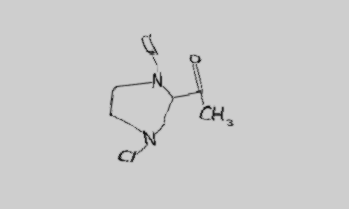 CC(=O)C1CN(Cl)CCN1Cl